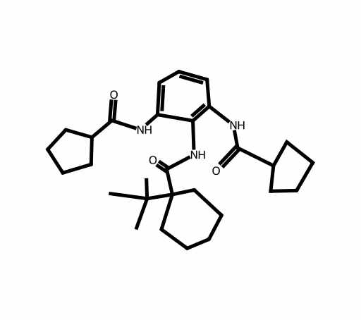 CC(C)(C)C1(C(=O)Nc2c(NC(=O)C3CCCC3)cccc2NC(=O)C2CCCC2)CCCCC1